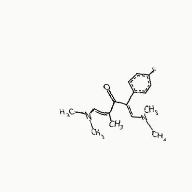 C/C(=C\N(C)C)C(=O)/C(=C/N(C)C)c1ccc(F)cc1